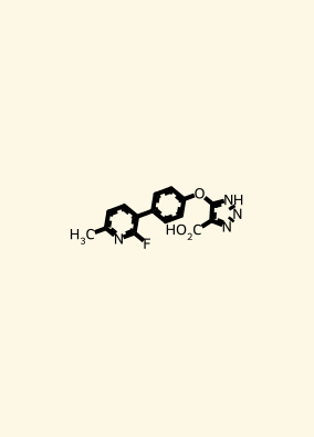 Cc1ccc(-c2ccc(Oc3[nH]nnc3C(=O)O)cc2)c(F)n1